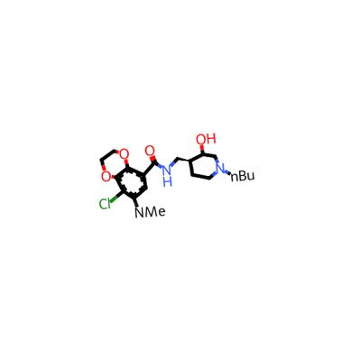 CCCCN1CC[C@@H](CNC(=O)c2cc(NC)c(Cl)c3c2OCCO3)C(O)C1